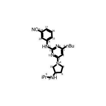 CCCCc1cc(N2CCC(NC(C)C)C2)nc(Nc2cccc(C#N)c2)n1